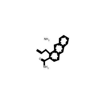 C=CCc1c(C(N)=O)ccc2cc3ccccc3cc12.N